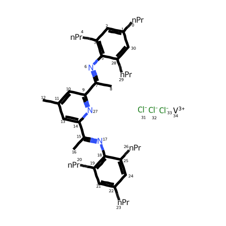 CCCc1cc(CCC)c(N=C(C)c2cc(C)cc(C(C)=Nc3c(CCC)cc(CCC)cc3CCC)n2)c(CCC)c1.[Cl-].[Cl-].[Cl-].[V+3]